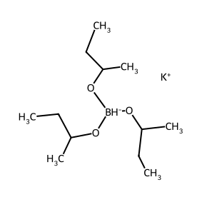 CCC(C)O[BH-](OC(C)CC)OC(C)CC.[K+]